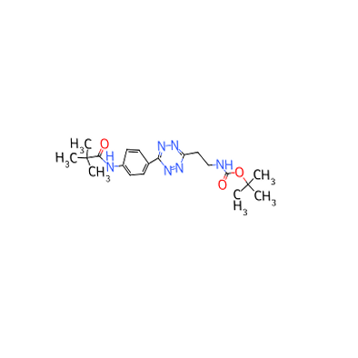 CC(C)(C)OC(=O)NCCc1nnc(-c2ccc(NC(=O)C(C)(C)C)cc2)nn1